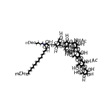 CCCCCCCCCCCCC/C=C/[C@@H](O)[C@H](CO[C@@H]1OC(CO)[C@@H](O[C@@H]2OC(CO)[C@H](O)[C@H](O[C@@H]3OC(CO)[C@@H](O[C@@H]4OC(CO)[C@H](O)[C@H](O[C@@H]5OC(CO)[C@@H](O)[C@H](O[C@@H]6OC(CO)[C@H](O)[C@H](O)C6O)C5NC(C)=O)C4O)[C@H](O)C3NC(C)=O)C2O)[C@H](O)C1O)NC(=O)CCCCCCCCCCCCCCCCCCCCCCCCC